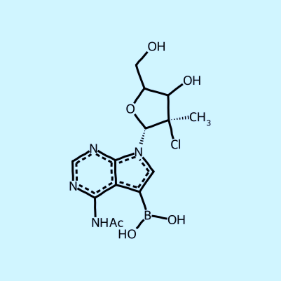 CC(=O)Nc1ncnc2c1c(B(O)O)cn2[C@@H]1OC(CO)C(O)[C@@]1(C)Cl